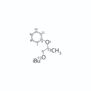 CCC(C)OCC(C)Oc1ccccc1